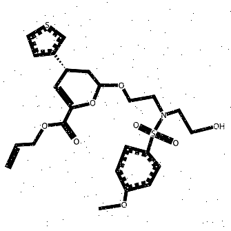 C=CCOC(=O)C1=C[C@H](c2ccsc2)CC(OCCN(CCO)S(=O)(=O)c2ccc(OC)cc2)O1